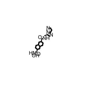 O=C(NO)c1ccc2cc(C(=O)NCc3cnc4ccncn34)ccc2c1